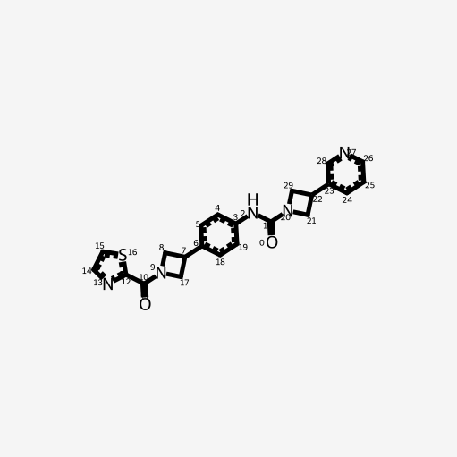 O=C(Nc1ccc(C2CN(C(=O)c3nccs3)C2)cc1)N1CC(c2cccnc2)C1